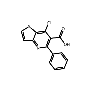 O=C(O)c1c(-c2ccccc2)nc2ccsc2c1Cl